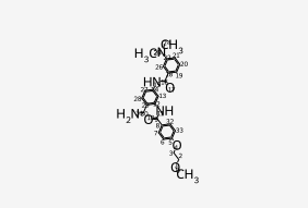 COCCOc1ccc(C(=O)Nc2cc(NC(=O)c3cccc(N(C)C)c3)ccc2CN)cc1